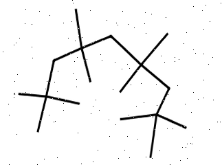 [CH2]C(C)(C)CC(C)(C)CC(C)(C)CC(C)(C)C